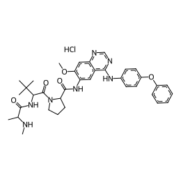 CNC(C)C(=O)NC(C(=O)N1CCCC1C(=O)Nc1cc2c(Nc3ccc(Oc4ccccc4)cc3)ncnc2cc1OC)C(C)(C)C.Cl